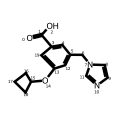 O=C(O)c1cc(Cn2ccnc2)cc(OC2CCC2)c1